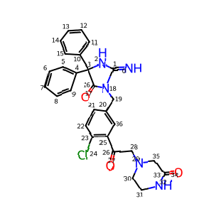 N=C1NC(c2ccccc2)(c2ccccc2)C(=O)N1Cc1ccc(Cl)c(C(=O)CN2CCNC(=O)C2)c1